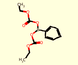 CCOC(=O)OB(OC(=O)OCC)c1ccccc1